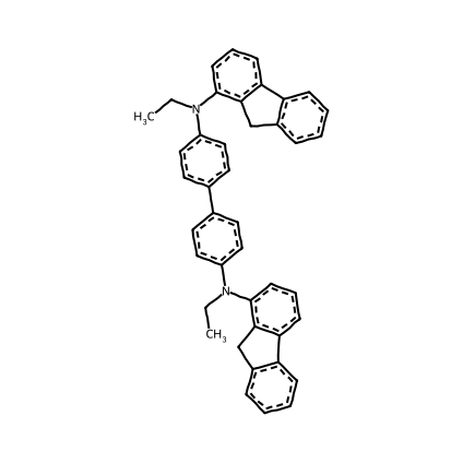 CCN(c1ccc(-c2ccc(N(CC)c3cccc4c3Cc3ccccc3-4)cc2)cc1)c1cccc2c1Cc1ccccc1-2